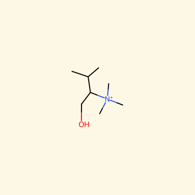 CC(C)C(CO)[N+](C)(C)C